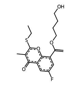 C=C(OCCCCO)c1cc(F)cc2c(=O)c(C)c(SCC)oc12